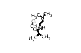 C=C(C)C(=O)NCCN(C)C.CCl